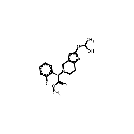 COC(=O)[C@@H](c1ccccc1Cl)N1CCc2sc(OC(C)O)cc2C1